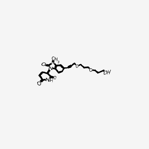 Cn1c(=O)n(C2CCC(=O)NC2=O)c2ccc(C#CCOCCCOCCCO)cc21